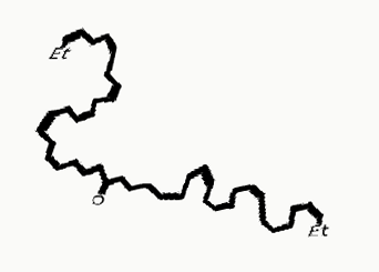 CC/C=C\C/C=C\C/C=C\C/C=C\C/C=C\C/C=C\CCCC(=O)CCC/C=C\C/C=C\C/C=C\C/C=C\C/C=C\C/C=C\CC